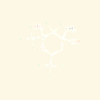 CC1(O)CC(C(F)(F)F)OC(O)(C(F)(F)F)C1(F)F